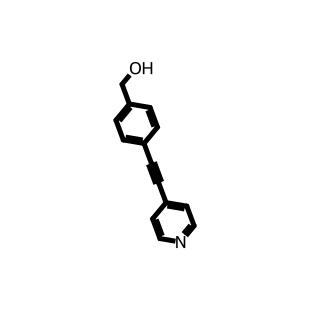 OCc1ccc(C#Cc2ccncc2)cc1